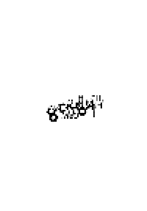 COc1ccc(C2=NC(C)NN2)c2[nH]cc(C(=O)C(=O)N3CCN(c4nccc5ccccc45)CC3)c12